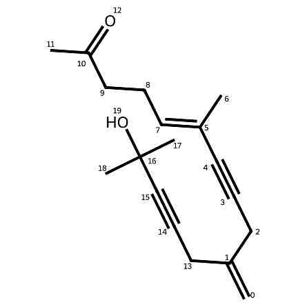 C=C(CC#CC(C)=CCCC(C)=O)CC#CC(C)(C)O